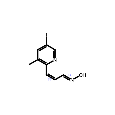 Cc1cc(I)cnc1/C=C\C=N\O